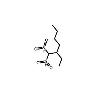 CCCCC(CC)C([SH](=O)=O)[SH](=O)=O